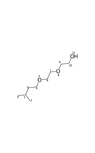 CC(C)CCOCCOCCO